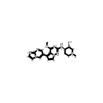 COc1nc(N[C@@H]2CCN(C)C[C@@H]2F)nn2ccc(-c3cnc4nccn4c3)c12